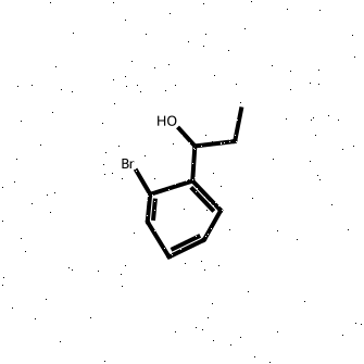 CCC(O)c1ccccc1Br